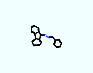 C(=NN=C1c2ccccc2-c2ccccc21)c1ccccc1